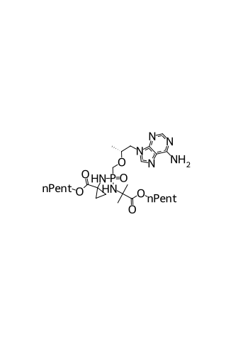 CCCCCOC(=O)C(C)(C)NP(=O)(CO[C@H](C)Cn1cnc2c(N)ncnc21)NC1(C(=O)OCCCCC)CC1